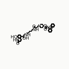 O=C(CCN1CCC(OC(=O)Nc2ccccc2-c2ccccc2)CC1)NCCCCCNCC(O)c1ccc(O)c2[nH]c(=O)ccc12